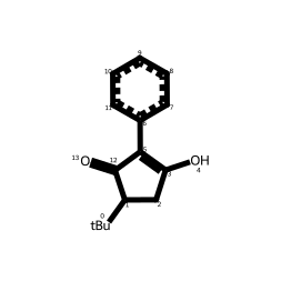 CC(C)(C)C1CC(O)=C(c2ccccc2)C1=O